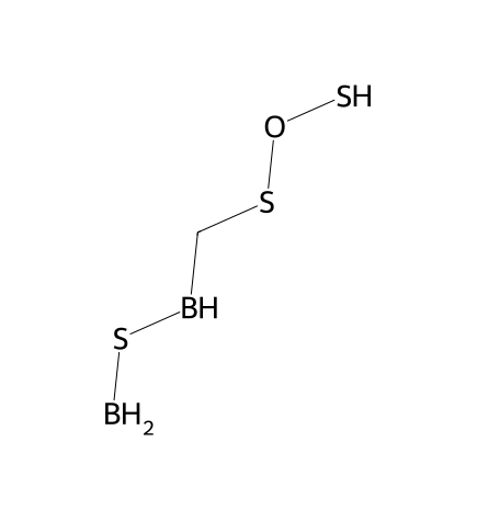 BSBCSOS